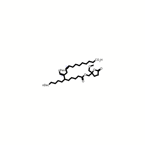 CCCCC/C=C(\C/C=C\CCCCCCCC(=O)O)C(CCCCCCCCCCCCCC)CCCCC(=O)OCC1(COI)CCC(=O)O1